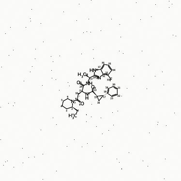 CC[C@H]1CCCCN1C(=O)C[C@H](NC(=O)[C@@H]1C[C@H]1c1ccccc1)C(=O)N[C@@H](C)c1nc2c(F)cccc2[nH]1